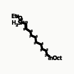 CCCCCCCCCCCCCCCC/C=C/[SiH2]OCC